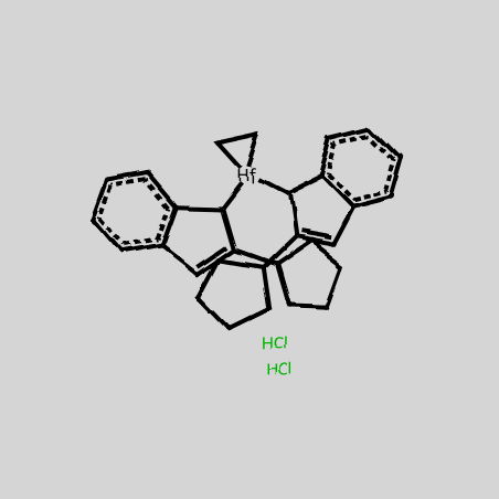 C1=C(C2CCCC2)[CH]([Hf]2([CH]3C(C4CCCC4)=Cc4ccccc43)[CH2][CH2]2)c2ccccc21.Cl.Cl